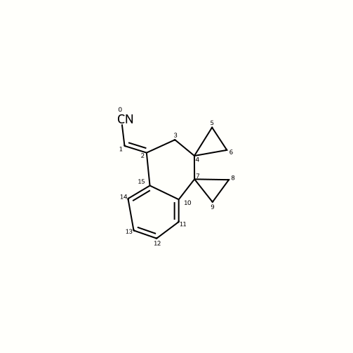 N#CC=C1CC2(CC2)C2(CC2)c2ccccc21